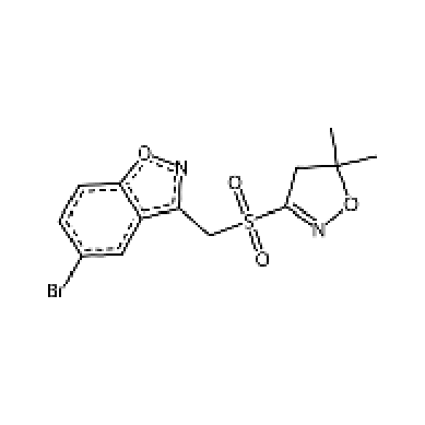 CC1(C)CC(S(=O)(=O)Cc2noc3ccc(Br)cc23)=NO1